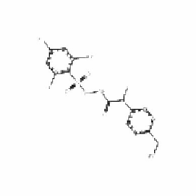 CC(C)Cc1ccc(C(C)C(=O)NNS(=O)(=O)c2c(C(C)C)cc(C(C)C)cc2C(C)C)cc1